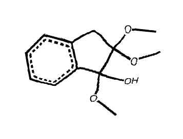 COC1(OC)Cc2ccccc2C1(O)OC